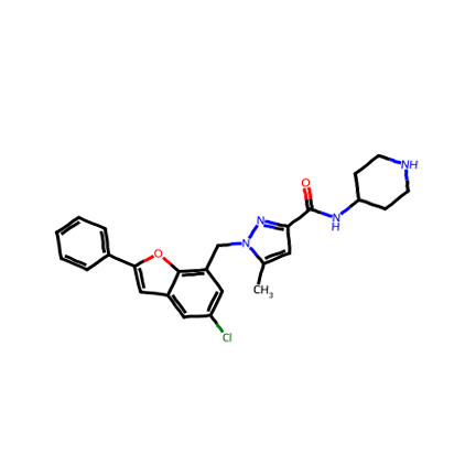 Cc1cc(C(=O)NC2CCNCC2)nn1Cc1cc(Cl)cc2cc(-c3ccccc3)oc12